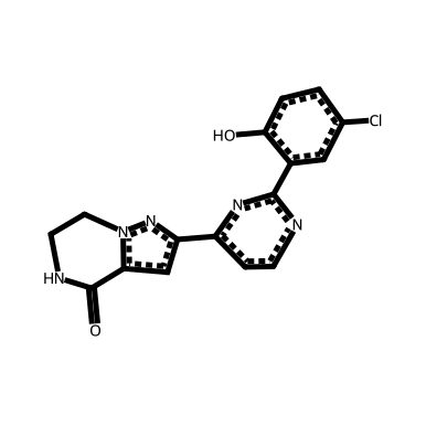 O=C1NCCn2nc(-c3ccnc(-c4cc(Cl)ccc4O)n3)cc21